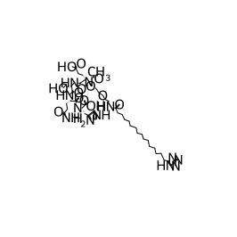 CC(=O)N(OCCOCCNC(=O)CCCCCCCCCCCCCCCc1nnn[nH]1)[C@@H](CCC(=O)O)C(=O)N[C@@H](CO)C(=O)N[C@@H](CCC(N)=O)C(=O)N[C@@H](Cc1c[nH]cn1)C(=O)O